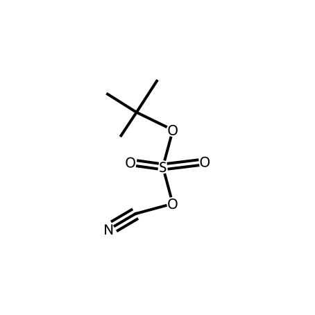 CC(C)(C)OS(=O)(=O)OC#N